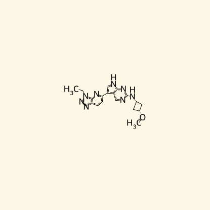 CCn1nnc2ccc(-c3c[nH]c4nc(N[C@H]5C[C@@H](OC)C5)ncc34)nc21